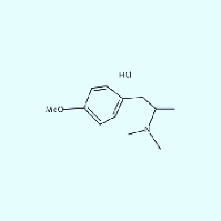 COc1ccc(CC(C)N(C)C)cc1.Cl